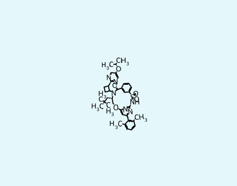 Cc1cccc(C)c1-c1cc2nc(n1)NS(=O)(=O)c1cccc(c1)C(=O)N(C1CCC1c1ncc(OC(C)C)cn1)[C@H](CC(C)(C)C)CO2